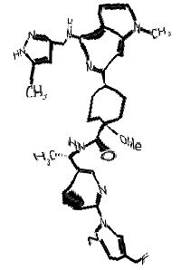 CO[C@]1(C(=O)N[C@@H](C)c2ccc(-n3cc(F)cn3)nc2)CC[C@H](c2cc3c(ccn3C)c(Nc3cc(C)[nH]n3)n2)CC1